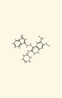 CCc1cc2c(cc1OC)C(CCc1c[nH]c3ccccc13)N(CC1CCOCC1)CC2